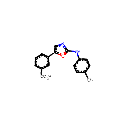 O=C(O)c1cccc(-c2cnc(Nc3ccc(C(F)(F)F)cc3)o2)c1